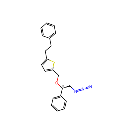 [N-]=[N+]=NC[C@H](OCc1ccc(CCc2ccccc2)s1)c1ccccc1